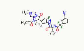 CCC(=O)N[C@H](C)[C@@H](C(=O)N1CCN(C)CC1)c1ccc(NC(=O)[C@@H](NC(=O)C(F)(F)c2cccc(C#N)c2)C2CCCC2)c(F)c1